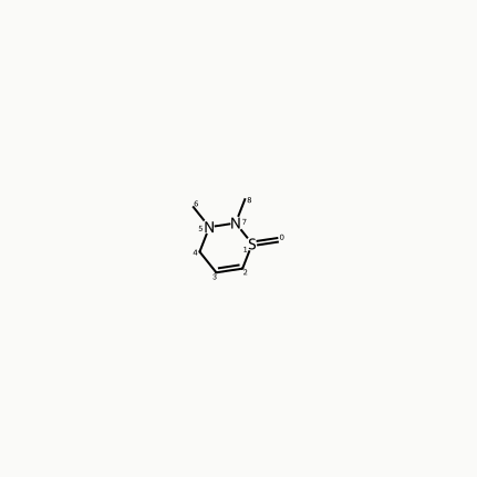 C=S1C=CCN(C)N1C